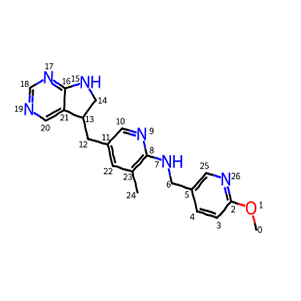 COc1ccc(CNc2ncc(CC3CNc4ncncc43)cc2C)cn1